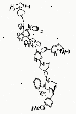 COc1ccc(CN2CCN(C3CC4(CCN(c5cc(Oc6cnc7[nH]ccc7c6)c(C(=O)NS(=O)(=O)c6cc([N+](=O)[O-])c(NCC7CCC(C)(O)CC7)c7ocnc67)cn5)CC4)C3)[C@H](c3ccccc3C(C)C)C2)cc1